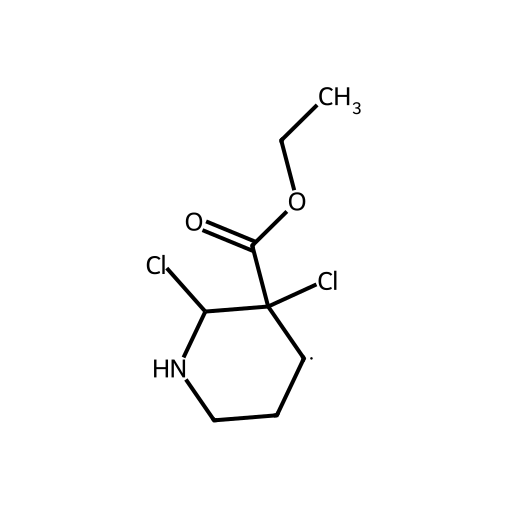 CCOC(=O)C1(Cl)[CH]CCNC1Cl